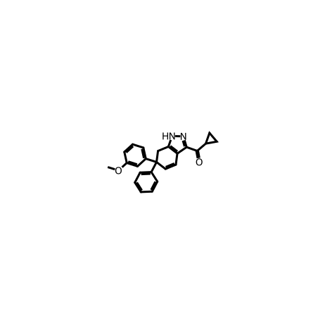 COc1cccc(C2(c3ccccc3)C=Cc3c(C(=O)C4CC4)n[nH]c3C2)c1